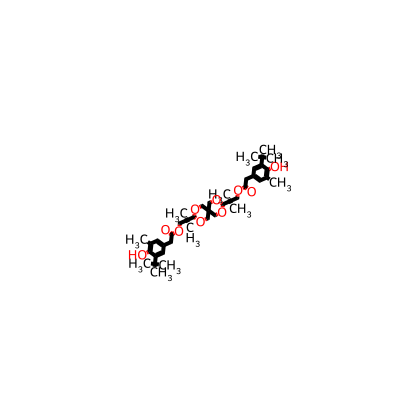 Cc1cc(CC(=O)OCC(C)(C)C2OCC3(CO2)COC(C(C)(C)COC(=O)Cc2cc(C)c(O)c(C(C)(C)C)c2)OC3)cc(C(C)(C)C)c1O